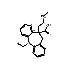 CCN1c2ccccc2CC(CCNC)(C(N)=O)c2ccccc21